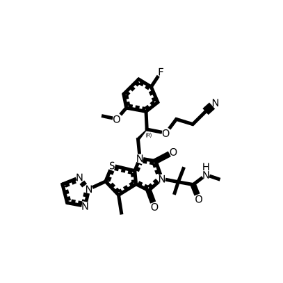 CNC(=O)C(C)(C)n1c(=O)c2c(C)c(-n3nccn3)sc2n(C[C@H](OCCC#N)c2cc(F)ccc2OC)c1=O